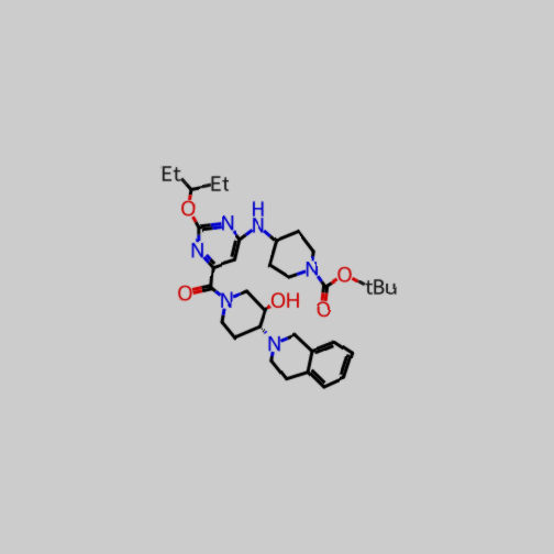 CCC(CC)Oc1nc(NC2CCN(C(=O)OC(C)(C)C)CC2)cc(C(=O)N2CC[C@@H](N3CCc4ccccc4C3)[C@H](O)C2)n1